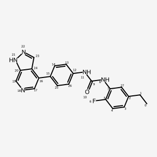 CCc1ccc(F)c(NC(=O)Nc2ccc(-c3cncc4[nH]ncc34)cc2)c1